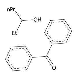 CCCC(O)CC.O=C(c1ccccc1)c1ccccc1